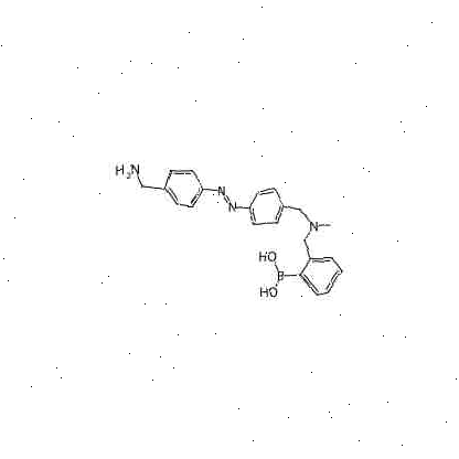 CN(Cc1ccc(/N=N/c2ccc(CN)cc2)cc1)Cc1ccccc1B(O)O